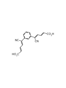 N#CC(=CC=CC(=O)O)c1cccc(C(C#N)=CC=CC(=O)O)c1